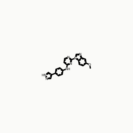 COc1ccc2c(c1)ncn2-c1nccc(Nc2ccc(-c3cn[nH]c3)cc2)n1